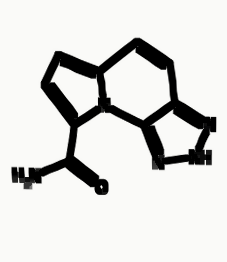 NC(=O)c1ccc2ccc3n[nH]nc3n12